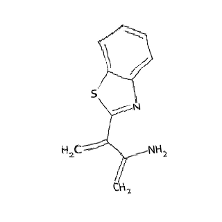 C=C(N)C(=C)c1nc2ccccc2s1